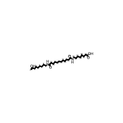 C=C(O)CCCCCCCNC(=O)CCCCCCCCCCC(=O)NCCCCCCCC(=O)O